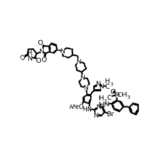 COc1cc(N2CCN(C3CCN(CC4CCN(c5ccc6c(c5)C(=O)N(C5CCC(=O)NC5=O)C6=O)CC4)CC3)CC2)c(-c2cnn(C)c2)cc1Nc1ncc(Br)c(Nc2ccc(-c3ccccc3)cc2P(C)(C)=O)n1